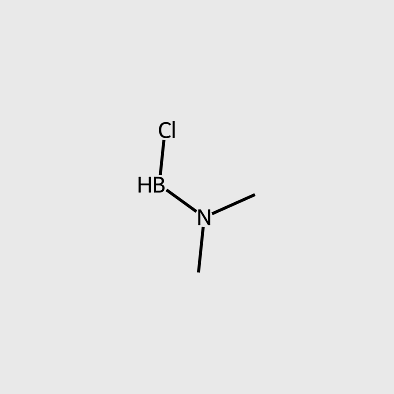 CN(C)BCl